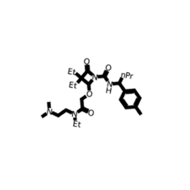 CCCC(NC(=O)N1C(=O)C(CC)(CC)C1OCC(=O)N(CC)CCN(C)C)c1ccc(C)cc1